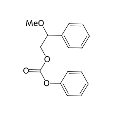 COC(COC(=O)Oc1ccccc1)c1ccccc1